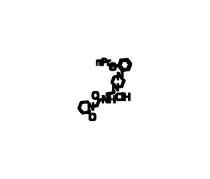 CCCOc1ccccc1N1CCN(CCNC(=O)CN2CCCCC2=O)CC1.Cl